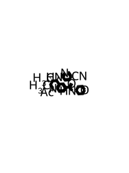 CC(=O)N1c2ccc(C(=O)NC3CCOCC3)cc2[C@H](Nc2ccc(C#N)cn2)[C@@H](C)[C@@H]1C